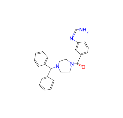 N/C=N\c1cccc(C(=O)N2CCN(C(c3ccccc3)c3ccccc3)CC2)c1